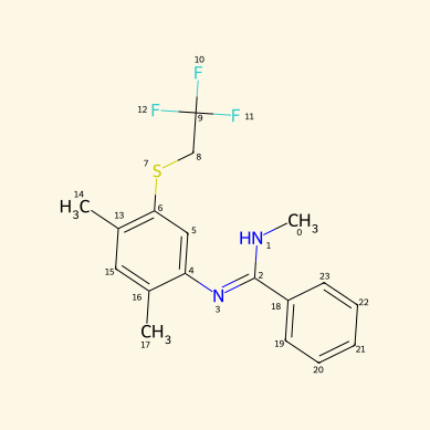 CN/C(=N\c1cc(SCC(F)(F)F)c(C)cc1C)c1ccccc1